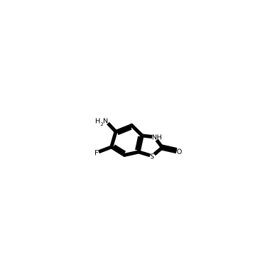 Nc1cc2[nH]c(=O)sc2cc1F